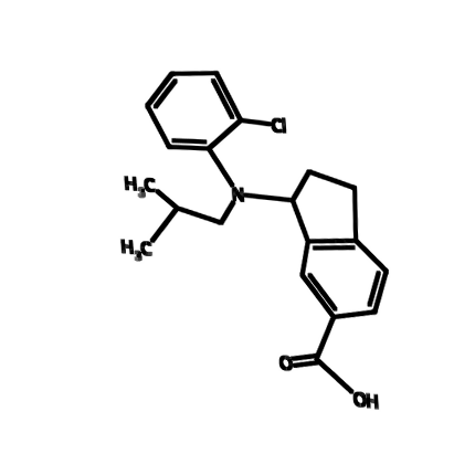 CC(C)CN(c1ccccc1Cl)C1CCc2ccc(C(=O)O)cc21